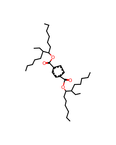 CCCCCCC(OC(=O)c1ccc(C(=O)OC(CCCCCC)C(CC)CCCCC)cc1)C(CC)CCCCC